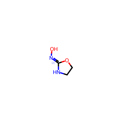 O/N=C1/NCCO1